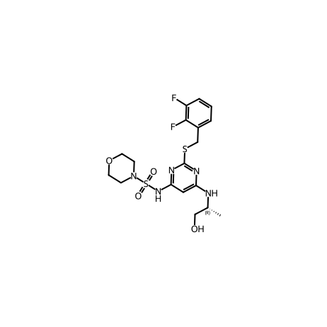 C[C@H](CO)Nc1cc(NS(=O)(=O)N2CCOCC2)nc(SCc2cccc(F)c2F)n1